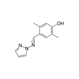 Cc1cc(/C=N/n2cccn2)c(C)cc1O